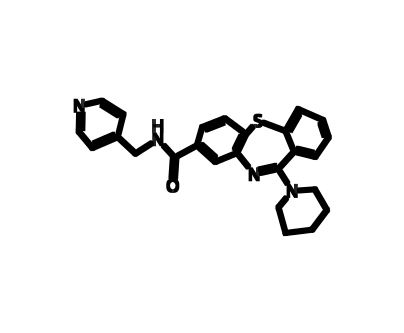 O=C(NCc1ccncc1)c1ccc2c(c1)N=C(N1CCCCC1)c1ccccc1S2